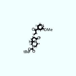 COc1cc(C(=O)CC[C@H]2C[C@H]3CN(C(=O)OC(C)(C)C)CCN3C2=O)ccn1